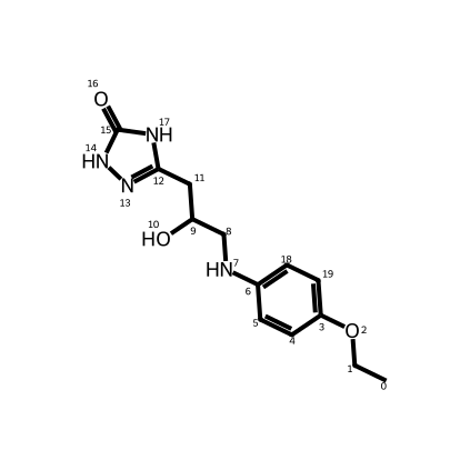 CCOc1ccc(NCC(O)Cc2n[nH]c(=O)[nH]2)cc1